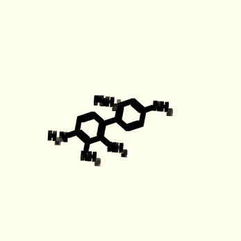 Nc1ccc(-c2ccc(N)c(N)c2N)cc1.[PbH2]